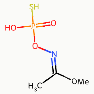 CO/C(C)=N/OP(=O)(O)S